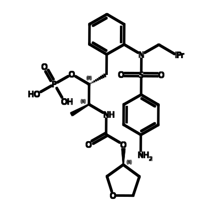 CC(C)CN(c1ccccc1C[C@@H](OP(=O)(O)O)[C@H](C)NC(=O)O[C@H]1CCOC1)S(=O)(=O)c1ccc(N)cc1